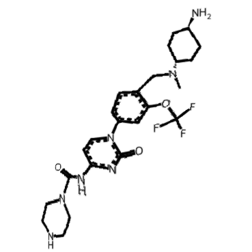 CN(Cc1ccc(-n2ccc(NC(=O)N3CCNCC3)nc2=O)cc1OC(F)(F)F)[C@H]1CC[C@H](N)CC1